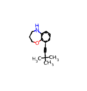 CC(C)(C)C#Cc1cccc2c1OCCCN2